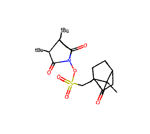 CC(C)(C)C1C(=O)N(OS(=O)(=O)CC23CCC(CC2=O)C3(C)C)C(=O)C1C(C)(C)C